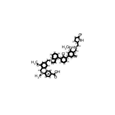 COc1cc(Cn2ncc3c(-c4cccc(-c5cc(F)c(CNCC6CCC(=O)N6)c(OC)c5)c4Cl)cccc32)ccc1CN(C)C12CCC(C(=O)O)(CC1)CC2